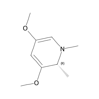 COC1=CN(C)[C@H](C)C(OC)=C1